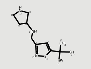 CCCC(C)(C)c1cc(CNC2CCNC2)ns1